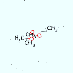 [CH2]CCOC(=O)OC(C)(C)C